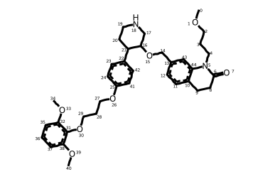 COCCCN1C(=O)CCc2ccc(COC3CNCCC3c3ccc(OCCCOc4c(OC)cccc4OC)cc3)cc21